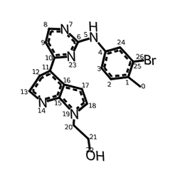 Cc1ccc(Nc2nccc(-c3ccnc4c3ccn4CCO)n2)cc1Br